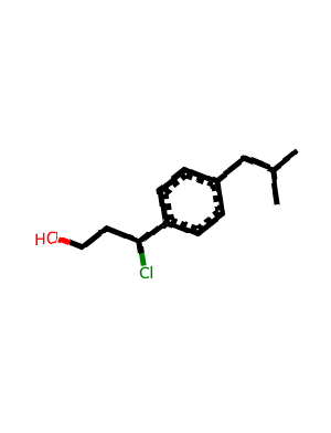 CC(C)Cc1ccc(C(Cl)CCO)cc1